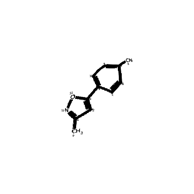 Cc1cc(-c2ccc(C#N)cc2)on1